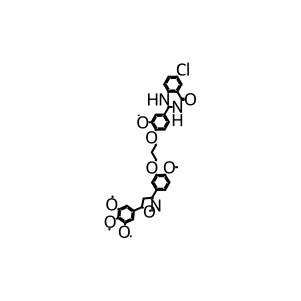 COc1cc(C2NC(=O)c3cc(Cl)ccc3N2)ccc1OCCCOc1cc(C2=NOC(c3cc(OC)c(OC)c(OC)c3)C2)ccc1OC